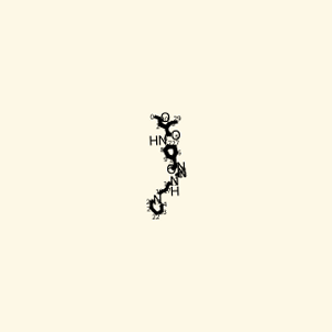 Cc1cc(C(=O)Nc2ccc(-c3nnc(NCCCN4CCCCC4)o3)cc2)c(C)o1